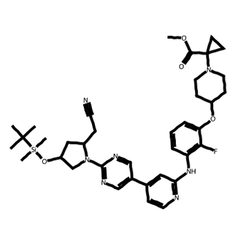 COC(=O)C1(N2CCC(Oc3cccc(Nc4cc(-c5cnc(N6CC(O[Si](C)(C)C(C)(C)C)CC6CC#N)nc5)ccn4)c3F)CC2)CC1